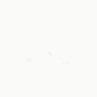 C=Cc1ccc(N(CCOC)C(=O)OC(C)(C)C)cc1